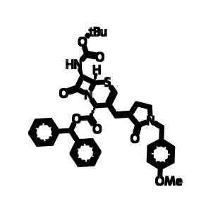 COc1ccc(CN2CC/C(=C\C3=CS[C@@H]4[C@H](NC(=O)OC(C)(C)C)C(=O)N4[C@H]3C(=O)OC(c3ccccc3)c3ccccc3)C2=O)cc1